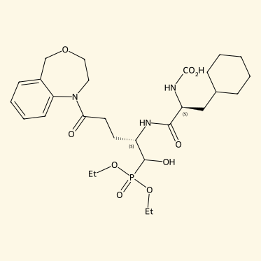 CCOP(=O)(OCC)C(O)[C@H](CCC(=O)N1CCOCc2ccccc21)NC(=O)[C@H](CC1CCCCC1)NC(=O)O